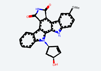 COc1ccc2[nH]c3c(c4c(c5c6ccccc6n([C@H]6C=C[C@@H](O)C6)c35)C(=O)NC4=O)c2c1